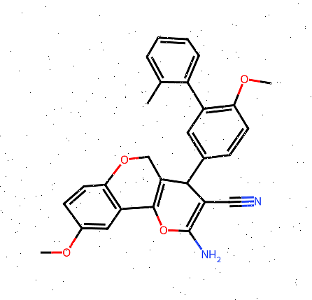 COc1ccc2c(c1)C1=C(CO2)C(c2ccc(OC)c(-c3ccccc3C)c2)C(C#N)=C(N)O1